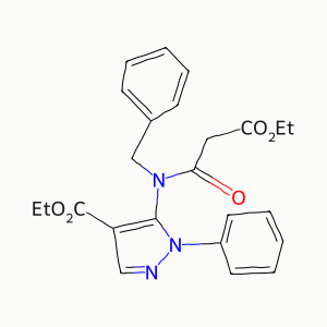 CCOC(=O)CC(=O)N(Cc1ccccc1)c1c(C(=O)OCC)cnn1-c1ccccc1